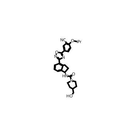 CC(C)Oc1ccc(-c2nc(-c3cccc4c3CC[C@H]4NC(=O)N3CCC(CO)CC3)no2)cc1C#N